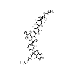 COCCCn1c([C@@H]2CCCN(C(=O)C[C@@H](Cc3ccc(-c4ccc(NC(=O)COC)cc4)cc3)NC(=O)O)C2)nc2ccccc21